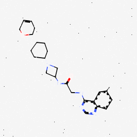 O=C(CNc1ncnc2ccc(C(F)(F)F)cc12)NC1CN([C@H]2CC[C@@H](C3CC=CCO3)CC2)C1